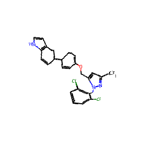 FC(F)(F)c1cc(COC2=CCC(C3C=Cc4[nH]ccc4C3)C=C2)n(-c2c(Cl)cccc2Cl)n1